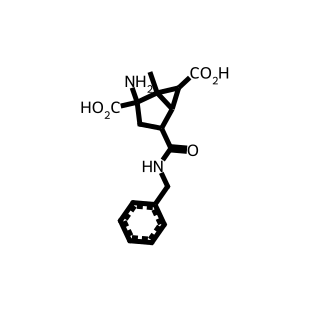 CC12C(C(=O)O)C1C(C(=O)NCc1ccccc1)CC2(N)C(=O)O